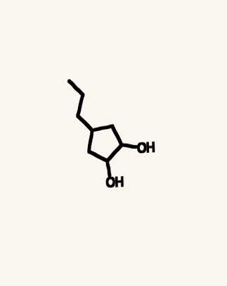 CCCC1CC(O)C(O)C1